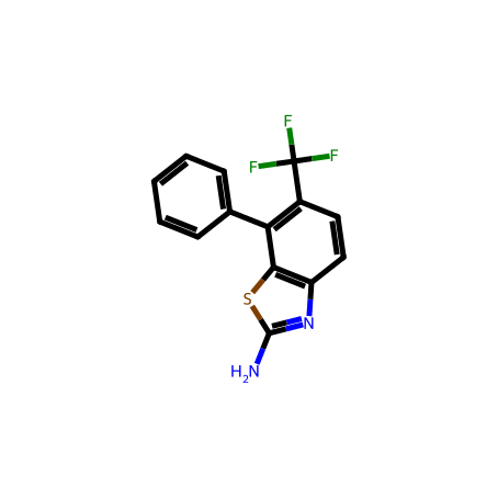 Nc1nc2ccc(C(F)(F)F)c(-c3ccccc3)c2s1